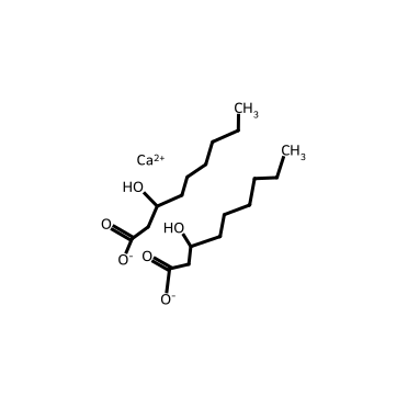 CCCCCCC(O)CC(=O)[O-].CCCCCCC(O)CC(=O)[O-].[Ca+2]